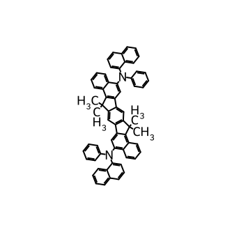 CC1(C)c2cc3c(cc2-c2cc(N(c4ccccc4)c4cccc5ccccc45)c4ccccc4c21)C(C)(C)c1c-3cc(N(c2ccccc2)c2cccc3ccccc23)c2ccccc12